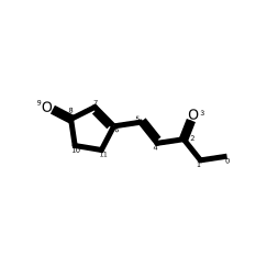 CCC(=O)/C=C/C1=CC(=O)CC1